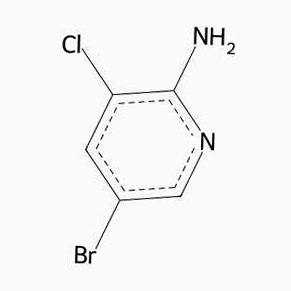 Nc1ncc(Br)cc1Cl